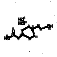 Cl.Cl.O=C(O)CN1CCN(CCO)CC1